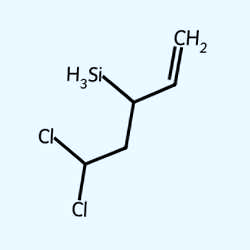 C=CC([SiH3])CC(Cl)Cl